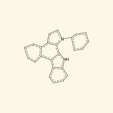 c1ccc(-n2ccc3c4ccccc4c4c5ccccc5[nH]c4c32)cc1